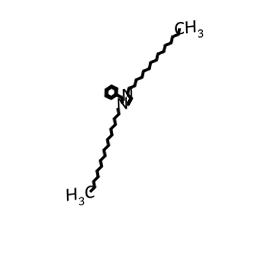 CCCCCCCCCCCCCCCCCN1C=CN(CCCCCCCCCCCCCCC)C1c1ccccc1